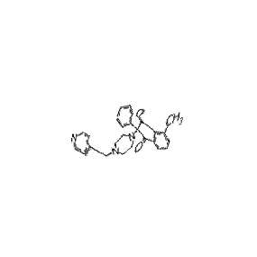 Cc1cccc2c1C(=O)C(c1ccccc1)(N1CCN(Cc3ccncc3)CC1)C2=O